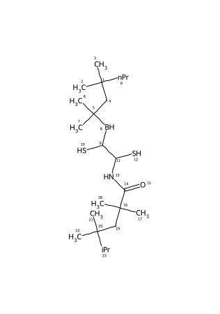 CCCC(C)(C)CC(C)(C)BC(S)C(S)NC(=O)C(C)(C)CC(C)(C)C(C)C